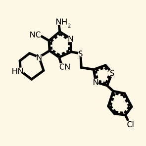 N#Cc1c(N)nc(SCc2csc(-c3ccc(Cl)cc3)n2)c(C#N)c1N1CCNCC1